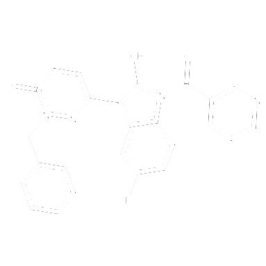 Cc1c(-c2ccc(=O)n(Cc3ccccc3)n2)c2cc(F)ccc2n1C(=O)c1cccnc1